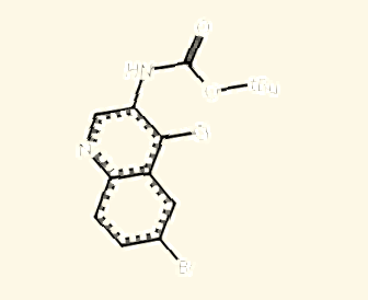 CC(C)(C)OC(=O)Nc1cnc2ccc(Br)cc2c1Cl